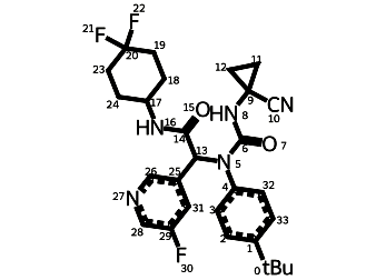 CC(C)(C)c1ccc(N(C(=O)NC2(C#N)CC2)C(C(=O)NC2CCC(F)(F)CC2)c2cncc(F)c2)cc1